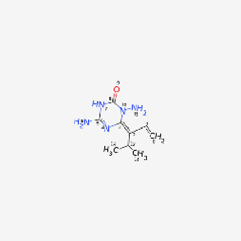 C=C/C(=C1/N=C(N)NC(=O)N1N)C(C)C